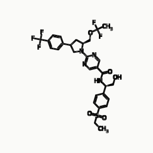 CCS(=O)(=O)c1ccc([C@H](CO)NC(=O)c2cnc(N3CC(c4ccc(C(F)(F)F)cc4)C[C@H]3COC(C)(F)F)nc2)cc1